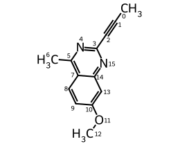 CC#Cc1nc(C)c2ccc(OC)cc2n1